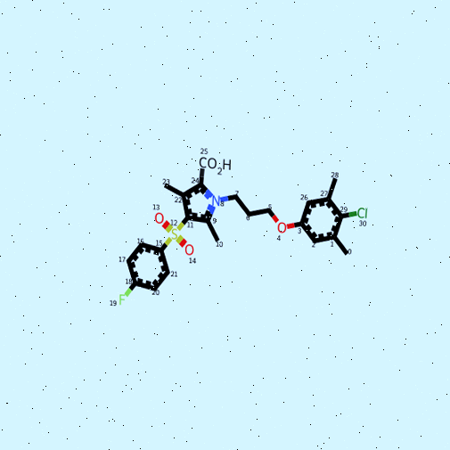 Cc1cc(OCCCn2c(C)c(S(=O)(=O)c3ccc(F)cc3)c(C)c2C(=O)O)cc(C)c1Cl